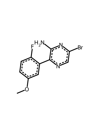 COc1ccc(F)c(-c2ncc(Br)nc2N)c1